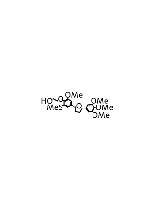 COc1cc([C@@H]2CC[C@@H](c3cc(OC)c(OCCO)c(SC)c3)O2)cc(OC)c1OC